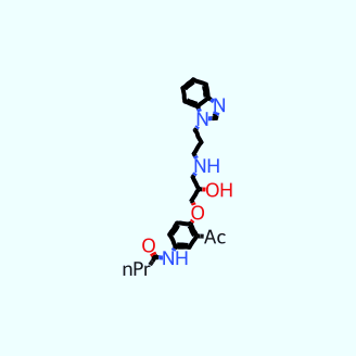 CCCC(=O)Nc1ccc(OCC(O)CNCCCn2cnc3ccccc32)c(C(C)=O)c1